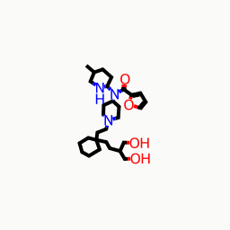 CC1CCC(N(C(=O)c2ccco2)C2CCN(CCC3(CCC(CO)CO)CCCCC3)CC2)NC1